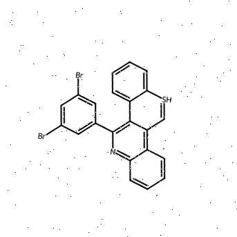 Brc1cc(Br)cc(-c2nc3ccccc3c3c2-c2ccccc2[SH]=C3)c1